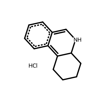 C1=c2ccccc2=C2CCCCC2N1.Cl